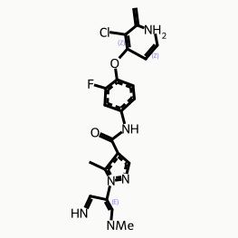 C=C(N)/C(Cl)=C(\C=C/C)Oc1ccc(NC(=O)c2cnn(/C(C=N)=C/NC)c2C)cc1F